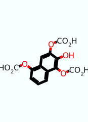 O=C(O)Oc1cc2c(OC(=O)O)cccc2c(OC(=O)O)c1O